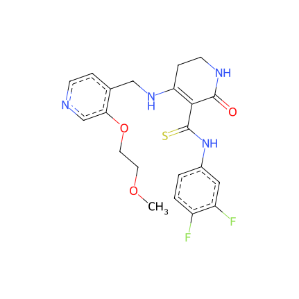 COCCOc1cnccc1CNC1=C(C(=S)Nc2ccc(F)c(F)c2)C(=O)NCC1